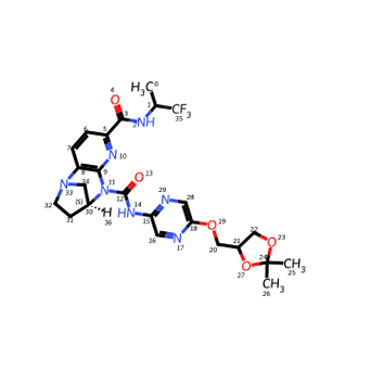 CC(NC(=O)c1ccc2c(n1)N(C(=O)Nc1cnc(OCC3COC(C)(C)O3)cn1)[C@H]1CCN2C1)C(F)(F)F